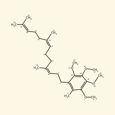 COc1c(C)c(CCC=C(C)CCC=C(C)CCC=C(C)C)c(OC)c(OC)c1OC